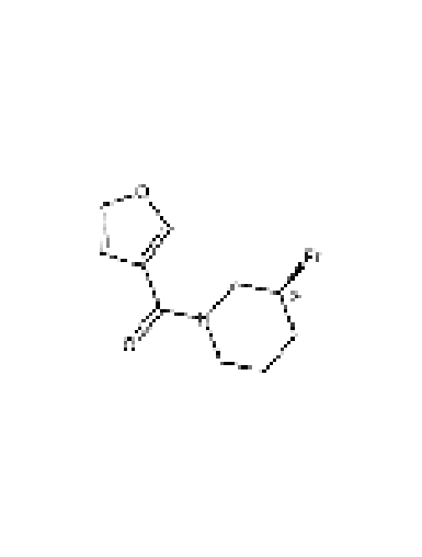 CC[C@H]1CCCN(C(=O)c2ccoc2)C1